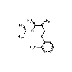 C=C(CCc1ccccc1C)C(=C)OC(C)=N